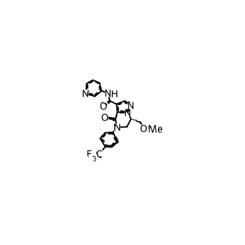 COC[C@H]1CN(c2ccc(C(F)(F)F)cc2)C(=O)c2c(C(=O)Nc3cccnc3)cnn21